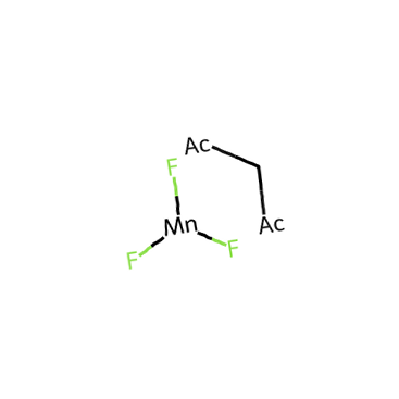 CC(=O)CC(C)=O.[F][Mn]([F])[F]